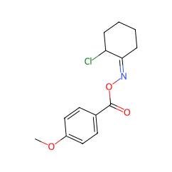 COc1ccc(C(=O)ON=C2CCCCC2Cl)cc1